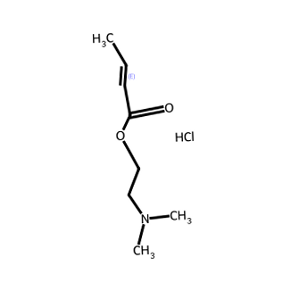 C/C=C/C(=O)OCCN(C)C.Cl